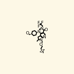 CC1Cc2c(ncc3c2N([C@H]2CC[C@H](C=O)CC2)CN(CC(F)(F)F)C3=O)N1COCC[Si](C)(C)C